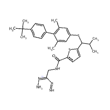 Cc1cc(SC(c2ccc(C(=O)NC/C(N=N)=N/N)s2)C(C)C)cc(C)c1-c1ccc(C(C)(C)C)cc1